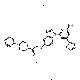 Nc1nc(-c2ccco2)cc(-n2nnc3cc(OCC(=O)N4CCN(c5ccccc5)CC4)ccc32)n1